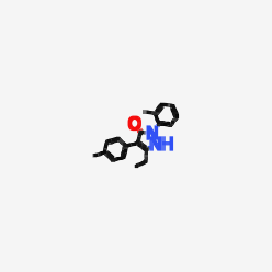 CCc1[nH]n(-c2ccccc2C)c(=O)c1-c1ccc(C)cc1